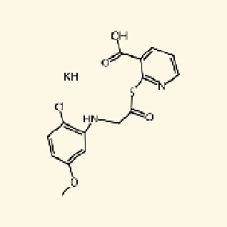 COc1ccc(Cl)c(NCC(=O)Sc2ncccc2C(=O)O)c1.[KH]